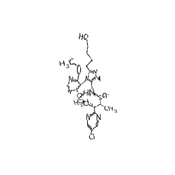 COc1ncnc(OC)c1-n1c(CCCCO)nnc1N[S+]([O-])C(C)[C@H](C)c1ncc(Cl)cn1